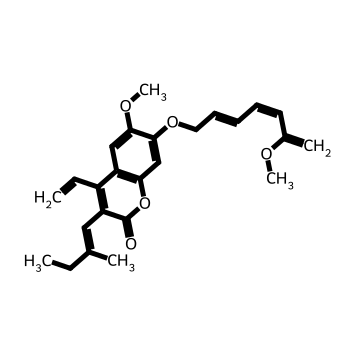 C=Cc1c(/C=C(\C)CC)c(=O)oc2cc(OC/C=C/C=C\C(=C)OC)c(OC)cc12